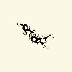 C[C@]1(c2cc(NC(=O)c3ncc(Cl)cc3Cl)cnc2F)C[C@@H](C(F)(F)F)OC(N)=N1